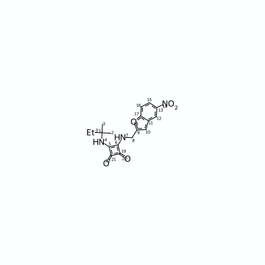 CCC(C)(C)Nc1c(NCc2cc3cc([N+](=O)[O-])ccc3o2)c(=O)c1=O